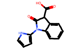 O=C(O)C1C(=O)N(c2ccc[nH]2)c2ccccc21